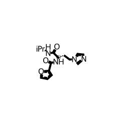 CC(C)NC(=O)[C@H](CCn1ccnc1)NC(=O)c1ccco1